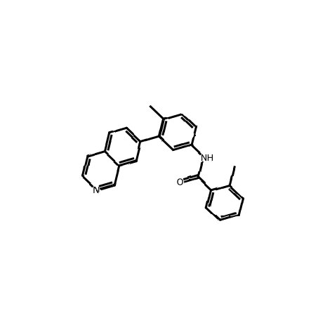 Cc1ccccc1C(=O)Nc1ccc(C)c(-c2ccc3ccncc3c2)c1